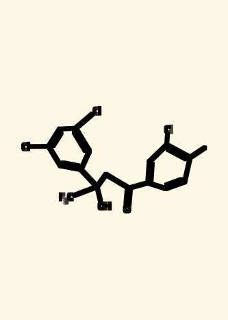 Cc1ccc(C(=O)CC(O)(c2cc(Cl)cc(Cl)c2)C(F)(F)F)cc1Cl